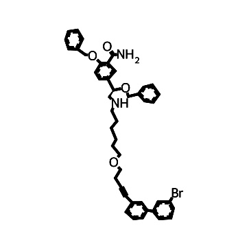 NC(=O)c1cc([C@H](CNCCCCCCOCCC#Cc2cccc(-c3cccc(Br)c3)c2)OCc2ccccc2)ccc1OCc1ccccc1